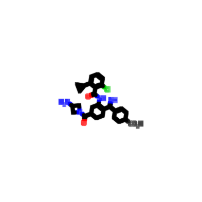 N=C(C1=CCC(C(=O)O)CC1)C1=C(NC(=O)c2c(Cl)cccc2C2CC2)CC(C(=O)N2CC(N)C2)CC1